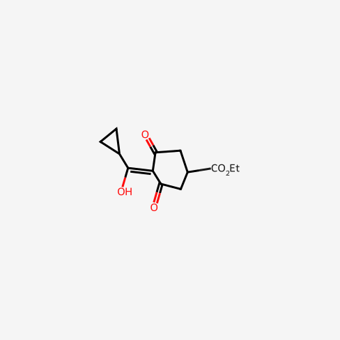 CCOC(=O)C1CC(=O)C(=C(O)C2CC2)C(=O)C1